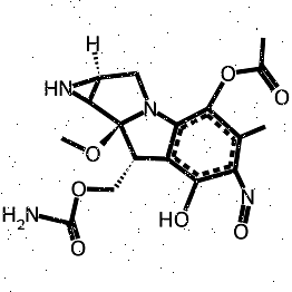 CO[C@@]12C3N[C@H]3CN1c1c(OC(C)=O)c(C)c(N=O)c(O)c1[C@@H]2COC(N)=O